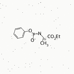 CCOC(=O)[C@H](C)N=[P+]([O-])Oc1ccccc1